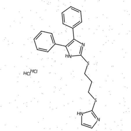 Cl.Cl.c1ccc(-c2nc(SCCCSc3ncc[nH]3)[nH]c2-c2ccccc2)cc1